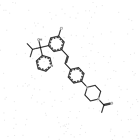 CC(=O)N1CCN(c2ccc(/C=C/c3cc(Cl)cc(C(O)(c4cccnc4)C(C)C)c3)cc2)CC1